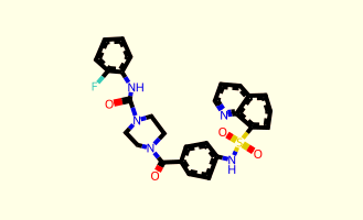 O=C(Nc1ccccc1F)N1CCN(C(=O)c2ccc(NS(=O)(=O)c3cccc4cccnc34)cc2)CC1